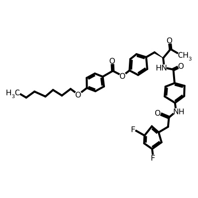 CCCCCCCOc1ccc(C(=O)Oc2ccc(C[C@H](NC(=O)c3ccc(NC(=O)Cc4cc(F)cc(F)c4)cc3)C(C)=O)cc2)cc1